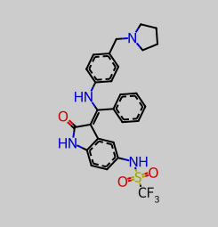 O=C1Nc2ccc(NS(=O)(=O)C(F)(F)F)cc2/C1=C(/Nc1ccc(CN2CCCC2)cc1)c1ccccc1